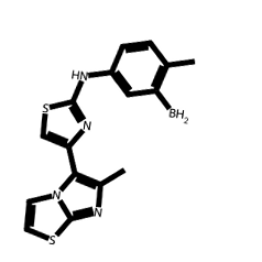 Bc1cc(Nc2nc(-c3c(C)nc4sccn34)cs2)ccc1C